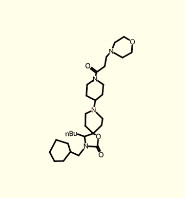 CCCCC1N(CC2CCCCC2)C(=O)OC12CCN(C1CCN(C(=O)CCN3CCOCC3)CC1)CC2